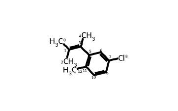 CC(C)=C(C)c1cc(Cl)ccc1C